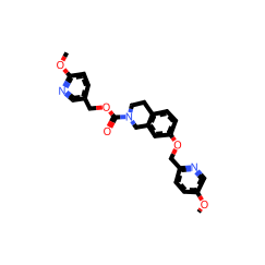 COc1ccc(COc2ccc3c(c2)CN(C(=O)OCc2ccc(OC)nc2)CC3)nc1